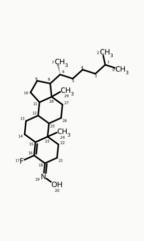 CC(C)CCC[C@@H](C)C1CCC2C3CCC4=C(F)/C(=N/O)CCC4(C)C3CCC21C